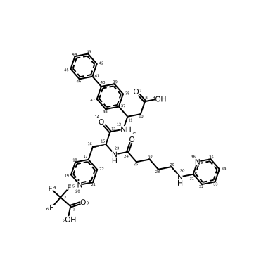 O=C(O)C(F)(F)F.O=C(O)CC(NC(=O)[C@H](Cc1ccncc1)NC(=O)CCCCNc1ccccn1)c1ccc(-c2ccccc2)cc1